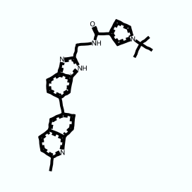 Cc1ccc2cc(-c3ccc4nc(CNC(=O)c5ccn(C(C)(C)C)c5)[nH]c4c3)ccc2n1